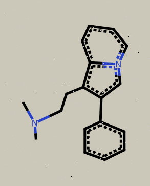 CN(C)CCc1c(-c2ccccc2)cn2ccccc12